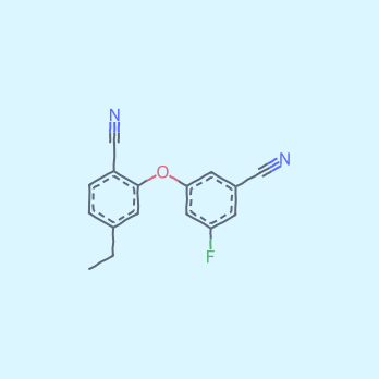 CCc1ccc(C#N)c(Oc2cc(F)cc(C#N)c2)c1